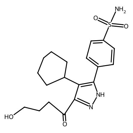 NS(=O)(=O)c1ccc(-c2[nH]nc(C(=O)CCCO)c2C2CCCCC2)cc1